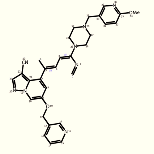 C=N/C(=C\C=C(/C)c1cc(OCc2cccnc2)cn2ncc(C#N)c12)N1CCN(Cc2ccc(OC)nc2)CC1